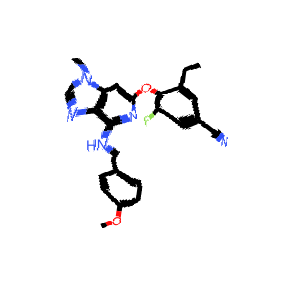 CCc1cc(C#N)cc(F)c1Oc1cc2c(ncn2C)c(NCc2ccc(OC)cc2)n1